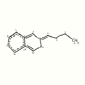 CCCC=C1C=c2ccccc2=CC1